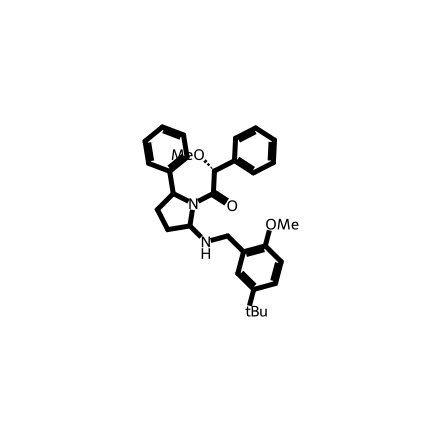 COc1ccc(C(C)(C)C)cc1CNC1CCC(c2ccccc2)N1C(=O)[C@H](OC)c1ccccc1